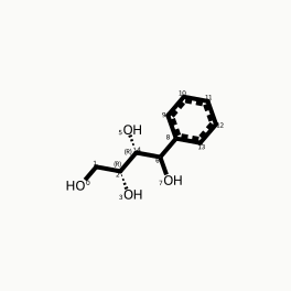 OC[C@@H](O)[C@H](O)C(O)c1ccccc1